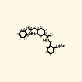 COc1ccccc1CNC(=O)C1CCC(Cc2nc3ccccc3[nH]2)CC1